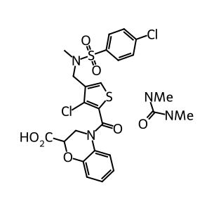 CN(Cc1csc(C(=O)N2CC(C(=O)O)Oc3ccccc32)c1Cl)S(=O)(=O)c1ccc(Cl)cc1.CNC(=O)NC